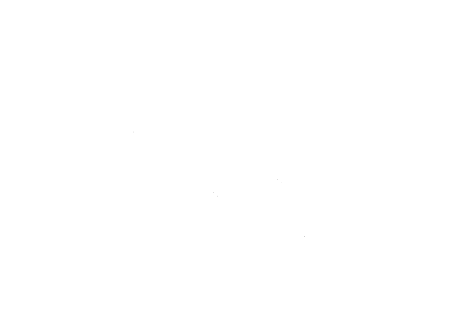 CCc1cc2ncc(CN3CC=C(c4ccc(C(=O)OC)nc4)CC3)cc2[nH]c1=O